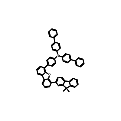 CC1(C)c2ccccc2-c2ccc(-c3cccc4c3oc3c(-c5ccc(N(c6ccc(-c7ccccc7)cc6)c6ccc(-c7ccccc7)cc6)cc5)cccc34)cc21